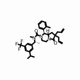 C=CCC1(CC=C)C[C@H]2[C@H](c3ccccc3C)N(C(=O)N(C)[C@H](C)c3cc(C(C)C)cc(C(F)(F)F)c3)CCN2C1=O